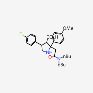 CCCCN(CCCC)C(=O)CC1(c2ccc(OC)cc2)NCC(c2ccc(F)cc2)C1C(=O)O